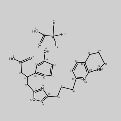 O=C(O)C(F)(F)F.O=C(O)CC(Cc1nc(CCCc2ccc3c(n2)NCCC3)no1)c1cccc(O)c1